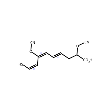 N#COC(/C=C\S)=C/C=C/CC(OC#N)C(=O)O